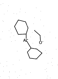 C1CC[CH]([Al+][CH]2CCCCC2)CC1.CC[O-]